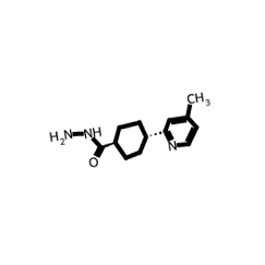 Cc1ccnc([C@H]2CC[C@H](C(=O)NN)CC2)c1